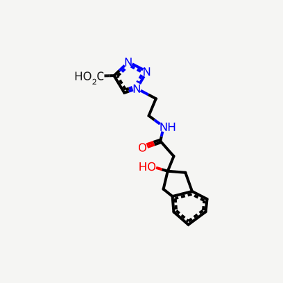 O=C(CC1(O)Cc2ccccc2C1)NCCn1cc(C(=O)O)nn1